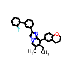 CCc1c(C)cn2cc(-c3cccc(-c4ccccc4F)c3)nc2c1-c1ccc2c(c1)CCCO2